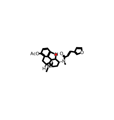 CC(=O)Oc1ccc2c3c1C[C@@H]1[C@@H]4CC[C@@H](N(C)C(=O)/C=C/c5ccoc5)[C@H](O2)[C@]34CCN1C